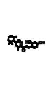 CC(CC(=O)C1C(C)C=CCC1(C)C)NC(=O)/C=C/c1ccc(O)cc1O